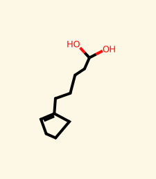 OC(O)CCCCC1=CCCC1